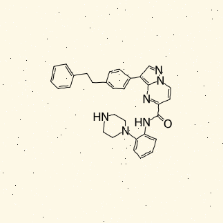 O=C(Nc1ccccc1N1CCNCC1)c1ccn2ncc(-c3ccc(CCc4ccccc4)cc3)c2n1